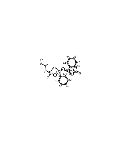 CCCC[Si](C)(C)O[Si](C)(C)O[Si](O[SiH](C)C)(c1ccccc1)c1ccccc1